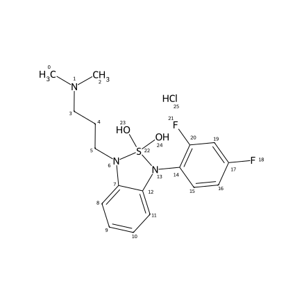 CN(C)CCCN1c2ccccc2N(c2ccc(F)cc2F)S1(O)O.Cl